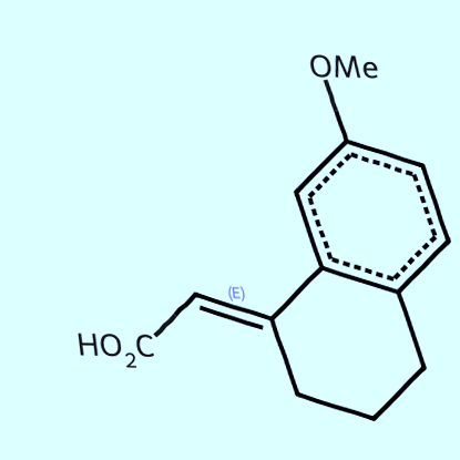 COc1ccc2c(c1)/C(=C/C(=O)O)CCC2